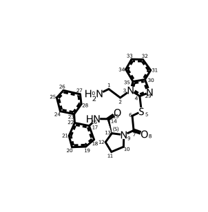 NCCn1c(SCC(=O)N2CCC[C@H]2C(=O)Nc2ccccc2-c2ccccc2)nc2ccccc21